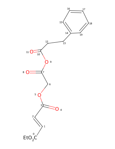 CCOC(=O)C=CC(=O)OCC(=O)OC(=O)CCc1ccccc1